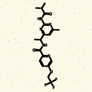 Cc1cc(C(C)NC(=O)c2ccc(OCC(F)(F)F)cn2)nc(NC(=O)C(C)C)n1